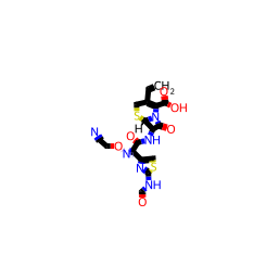 C=CC1=C(C(=O)O)N2C(=O)C(NC(=O)/C(=N\OCC#N)c3csc(NC=O)n3)[C@H]2SC1